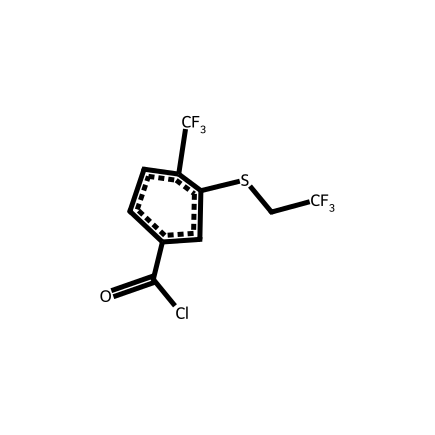 O=C(Cl)c1ccc(C(F)(F)F)c(SCC(F)(F)F)c1